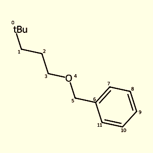 [CH2]C(C)(C)CCCOCc1ccccc1